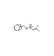 CC(C)=C[SiH2]OCC1C2C=CC1C=C2